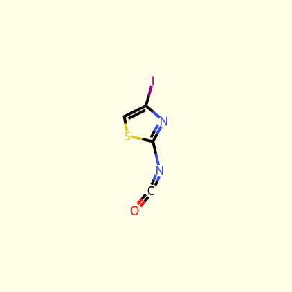 O=C=Nc1nc(I)cs1